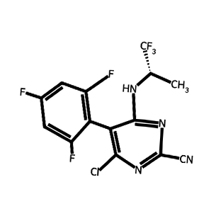 C[C@H](Nc1nc(C#N)nc(Cl)c1-c1c(F)cc(F)cc1F)C(F)(F)F